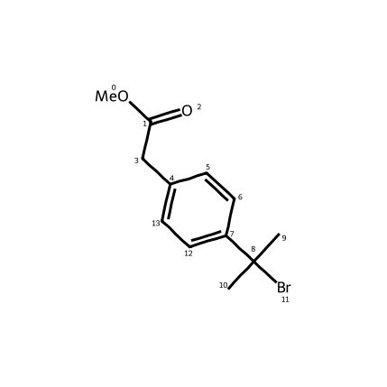 COC(=O)Cc1ccc(C(C)(C)Br)cc1